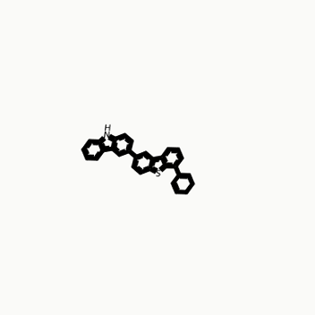 C1=CC(c2cccc3c2sc2ccc(-c4ccc5[nH]c6ccccc6c5c4)cc23)=CCC1